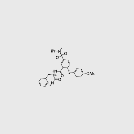 COc1ccc(Sc2ccc(S(=O)(=O)N(C)C(C)C)cc2C(=O)N[C@H](Cc2ccccc2)C(N)=O)cc1